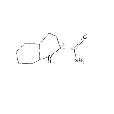 NC(=O)[C@H]1CCC2CCCCC2N1